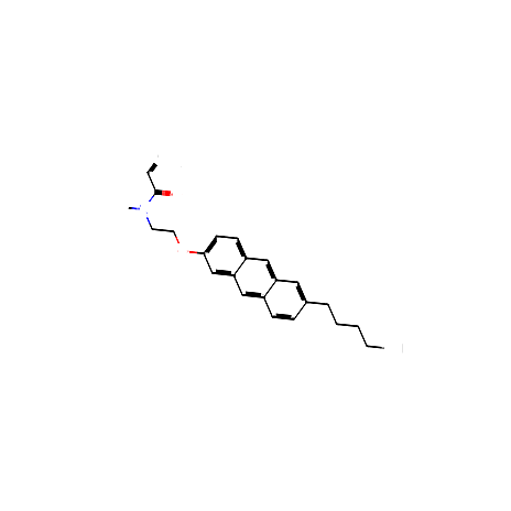 C=CC(=O)N(C)CCOc1ccc2cc3cc(CCCCC)ccc3cc2c1